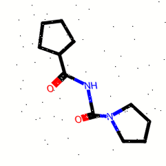 O=C(NC(=O)N1CCCC1)C1CCCC1